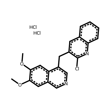 COc1cc2cncc(Cc3cc4ccccc4nc3Cl)c2cc1OC.Cl.Cl